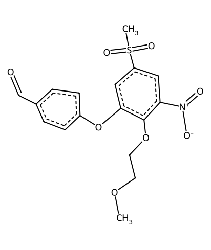 COCCOc1c(Oc2ccc(C=O)cc2)cc(S(C)(=O)=O)cc1[N+](=O)[O-]